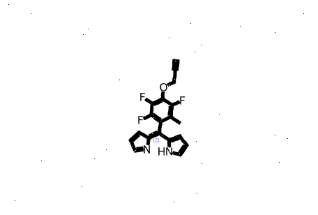 C#CCOc1c(F)c(C)c(/C(=C2\C=CC=N2)c2ccc[nH]2)c(F)c1F